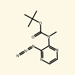 CN(C(=O)OC(C)(C)C)c1nccnc1N=[N+]=[N-]